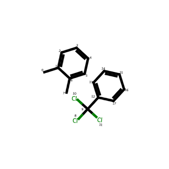 Cc1ccccc1C.ClC(Cl)(Cl)c1ccccc1